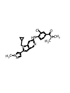 CN(C)C(=O)c1ccc(Nc2cc3c(cn2)cc(-c2cnn(C)c2)n3CC2CC2)c(Cl)c1